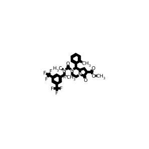 COC(=O)C1CC2C(c3ccccc3C)N(C(=O)N(C)[C@H](C)c3cc(C(F)(F)F)cc(C(F)(F)F)c3)CCN2C1=O